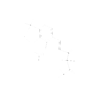 COc1c(C(C)(C)C)ccc(C=CC(=O)C(C)(C)C(=O)C(C)(C)C)c1O[SiH](C)C